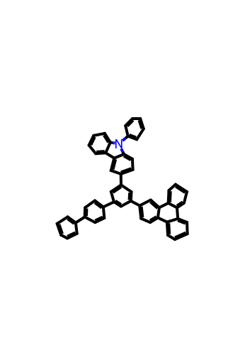 c1ccc(-c2ccc(-c3cc(-c4ccc5c6ccccc6c6ccccc6c5c4)cc(-c4ccc5c(c4)c4ccccc4n5-c4ccccc4)c3)cc2)cc1